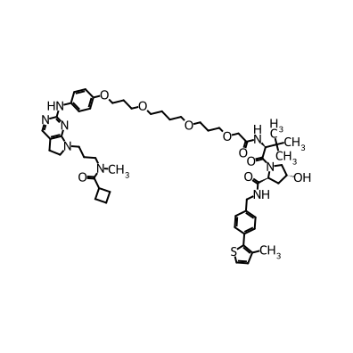 Cc1ccsc1-c1ccc(CNC(=O)[C@@H]2C[C@@H](O)CN2C(=O)[C@@H](NC(=O)COCCCOCCCCOCCCOc2ccc(Nc3ncc4c(n3)N(CCCN(C)C(=O)C3CCC3)CC4)cc2)C(C)(C)C)cc1